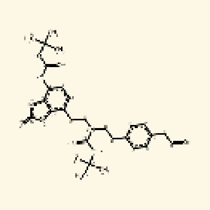 CC(C)(C)OC(=O)Oc1ccc(CCN(CCc2ccc(CC=O)cc2)C(=O)OC(C)(C)C)c2sc(=O)[nH]c12